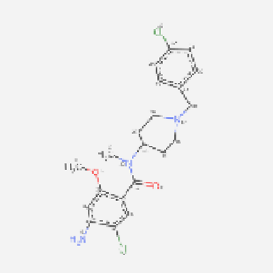 COc1cc(N)c(Cl)cc1C(=O)N(C)C1CCN(Cc2ccc(Cl)cc2)CC1